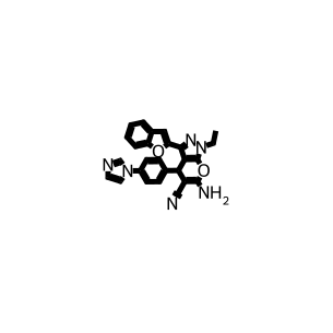 CCn1nc(-c2cc3ccccc3o2)c2c1OC(N)=C(C#N)C2c1ccc(-n2ccnc2)cc1